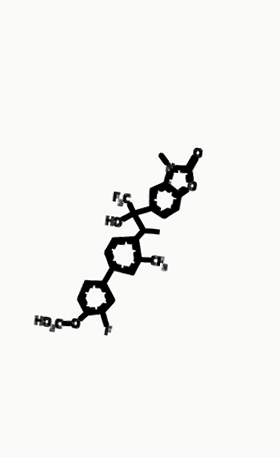 CC(c1ccc(-c2ccc(OC(=O)O)c(F)c2)cc1C(F)(F)F)C(O)(c1ccc2oc(=O)n(C)c2c1)C(F)(F)F